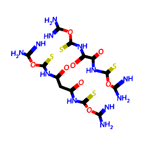 N=C(N)OC(=S)NC(=O)C(=O)NC(=S)OC(=N)N.N=C(N)OC(=S)NC(=O)CC(=O)NC(=S)OC(=N)N